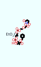 CCOC(=O)C(C)(COC(=O)OCCOCC(=O)ON1C(=O)CCC1=O)COC(=O)OCC(C)(CO)C(=O)OCc1ccccc1